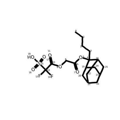 CCCCC1(OC(=O)COC(=O)C(F)(F)S(=O)(=O)O)C2CC3CC(C2)CC1C3